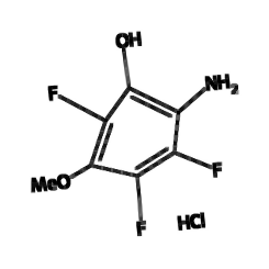 COc1c(F)c(O)c(N)c(F)c1F.Cl